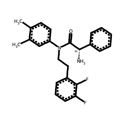 Cc1ccc(N(CCc2cccc(F)c2F)C(=O)[C@@H](N)c2ccccc2)cc1C